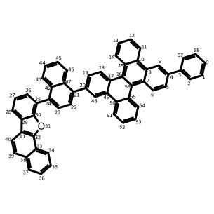 c1ccc(-c2ccc3c(c2)c2ccccc2c2c4ccc(-c5ccc(-c6cccc7c6oc6c8ccccc8ccc76)c6ccccc56)cc4c4ccccc4c32)cc1